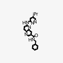 CC(C)c1cnnc(Nc2ccc3ncc(C(=O)NCc4ccccc4)cc3n2)c1